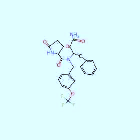 NC(=O)C(=O)C(Cc1ccccc1)N(Cc1cccc(OC(F)(F)F)c1)C(=O)C1CCC(=O)N1